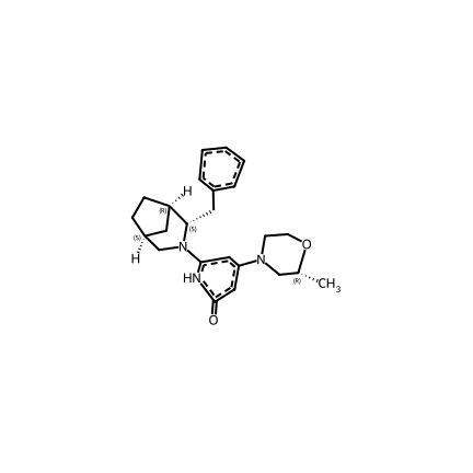 C[C@@H]1CN(c2cc(N3C[C@H]4CC[C@H](C4)[C@@H]3Cc3ccccc3)[nH]c(=O)c2)CCO1